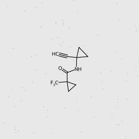 C#CC1(NC(=O)C2(C(F)(F)F)CC2)CC1